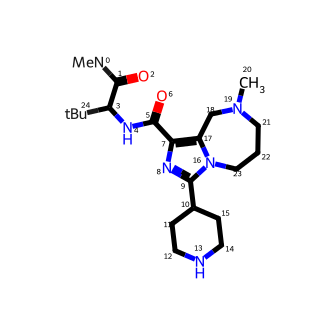 CNC(=O)C(NC(=O)c1nc(C2CCNCC2)n2c1CN(C)CCC2)C(C)(C)C